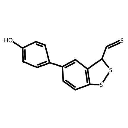 Oc1ccc(-c2ccc3c(c2)C(C=S)SS3)cc1